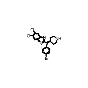 Clc1cc2nc(C(=C3CCNCC3)c3ccc(Br)cc3)[nH]c2cc1Cl